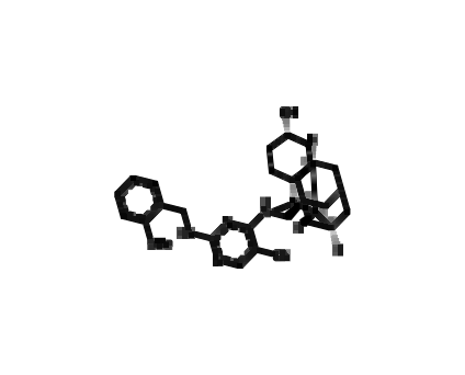 CSc1ccccc1CNc1ncc(C#N)c(NC[C@]23CC4C[C@H](C2)[C@@H](N(C)[C@H]2CC[C@@H](O)CC2)[C@@H](C4)C3)n1